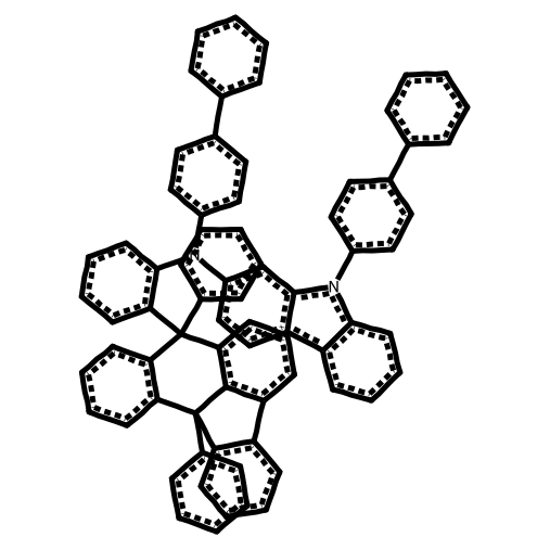 c1ccc(-c2ccc(N(c3ccc4c5ccccc5n(-c5ccc(-c6ccccc6)cc5)c4c3)c3ccccc3C3(c4ccccc4)c4ccccc4C4(c5ccccc5)c5ccccc5-c5cccc3c54)cc2)cc1